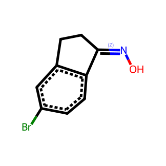 O/N=C1/CCc2cc(Br)ccc21